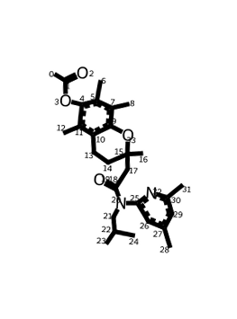 CC(=O)Oc1c(C)c(C)c2c(c1C)CCC(C)(CC(=O)N(CC(C)C)c1cc(C)cc(C)n1)O2